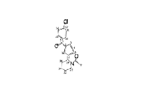 CC(Oc1ccc(C(=O)c2ccc(Cl)cc2)cc1)N1CCCCC1